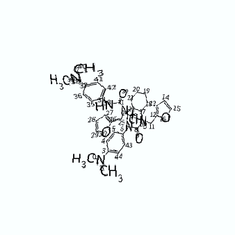 CN(C)c1ccc(NC(=O)N(Cc2ccco2)C2CCCCC2(C)N(Cc2ccco2)C(=O)Nc2ccc(N(C)C)cc2)cc1